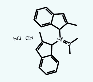 CC1=Cc2ccccc2[CH]1[Hf]([CH]1C(C)=Cc2ccccc21)=[Si](C)C.Cl.Cl